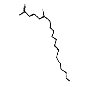 CCCCCCCCCCCCCC(C)CCCC(C)=O